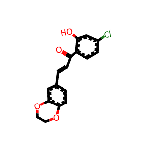 O=C(C=Cc1ccc2c(c1)OCCO2)c1ccc(Cl)cc1O